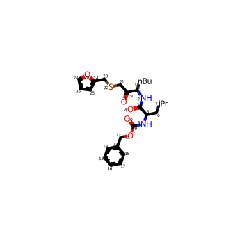 CCCCC(NC(=O)C(CC(C)C)NC(=O)OCc1ccccc1)C(=O)CSCc1ccco1